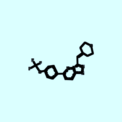 FC(F)(F)Oc1ccc(-c2ccc3nnc(C=C4CCOCC4)n3n2)cc1